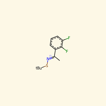 C/C(=N\SC(C)(C)C)c1cccc(F)c1F